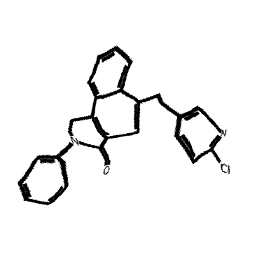 O=C1c2cc(Cc3ccc(Cl)nc3)c3ccccc3c2CN1c1ccccc1